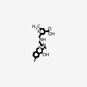 Cc1cc(C(=O)O)cc(CNCc2nnc3n2Cc2ccc(F)cc2C3O)n1